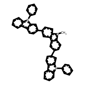 Cn1c2ccc(-c3ccc4c5ccccc5n(-c5ccccc5)c4c3)cc2c2cc(-c3ccc4c5ccccc5n(-c5ccccc5)c4c3)ccc21